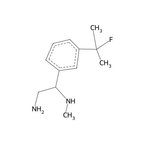 CNC(CN)c1cccc(C(C)(C)F)c1